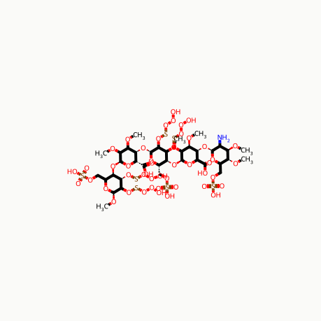 COC1C(OC)[C@H](O[C@H]2O[C@@H](COS(=O)(=O)O)[C@@H](O[C@@H]3OC(C(=O)O)[C@@H](O[C@H]4OC(COS(=O)(=O)O)[C@@H](OC)[C@H](OC)C4N)[C@H](OC)C3OC)C(OSOOO)C2OSOOO)[C@H](C(=O)O)O[C@H]1O[C@@H]1C(COS(=O)(=O)O)O[C@H](OC)C(OSOOO)[C@H]1OSOOO